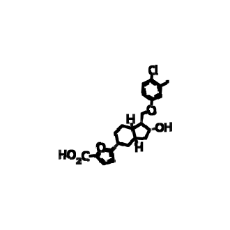 Cc1cc(OC[C@@H]2[C@H]3CC[C@H](c4ccc(C(=O)O)o4)C[C@H]3C[C@H]2O)ccc1Cl